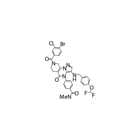 CNC(=O)c1ccc(-n2c(=O)c3c(n4ncc(NCc5ccc(OC(F)F)cc5)c24)CN(C(=O)c2ccc(Br)c(Cl)c2)CC3)cc1